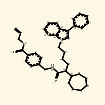 C=CCOC(=O)c1ccc(CNC(=O)C(CCCCn2cc(-c3ccccc3)c3cccnc32)C2CCCCCC2)cc1